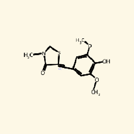 COc1cc(/C=C2\SCN(C)C2=O)cc(OC)c1O